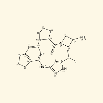 CC(C)c1cc(Nc2nc(N3CCCC3C(=O)N3CC(N)C3)nc3c2CCC3)n[nH]1